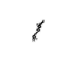 CCC[SiH]1CCC(CCCC[C@H]2CC[C@H](c3ccc(OCCCCl)c(F)c3)CC2)CC1